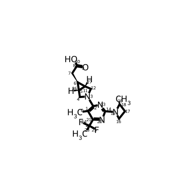 Cc1c(N2C[C@@H]3[C@@H](CC(=O)O)[C@@H]3C2)nc(N2CC[C@@H]2C)nc1C(C)(F)F